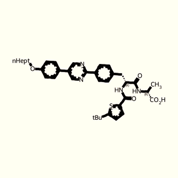 CCCCCCCOc1ccc(-c2cnc(-c3ccc(C[C@@H](NC(=O)c4ccc(C(C)(C)C)s4)C(=O)N[C@H](C)C(=O)O)cc3)nc2)cc1